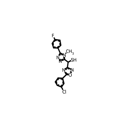 Cn1c(-c2ccc(F)cc2)nnc1C(S)c1noc(-c2cccc(Cl)c2)n1